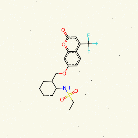 CCS(=O)(=O)NC1CCCCC1COc1ccc2c(C(F)(F)F)cc(=O)oc2c1